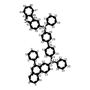 c1ccc(-c2cc3ccccc3c3ccc(N(c4ccccc4)c4ccc(-c5ccc(N(c6ccccc6)c6ccc7sc8ccccc8c7c6)cc5)cc4)cc23)cc1